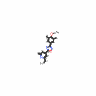 CCCOc1c(C)cc(-c2noc(-c3cc(C)nc(CC(C)C)c3)n2)cc1C